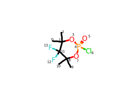 CC1(C)OP(=O)(Cl)OC(C)(C)C1(F)F